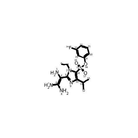 CCn1c(C(N)=C(N)N)nc(C(C)C)c1S(=O)(=O)Oc1cccc(F)c1